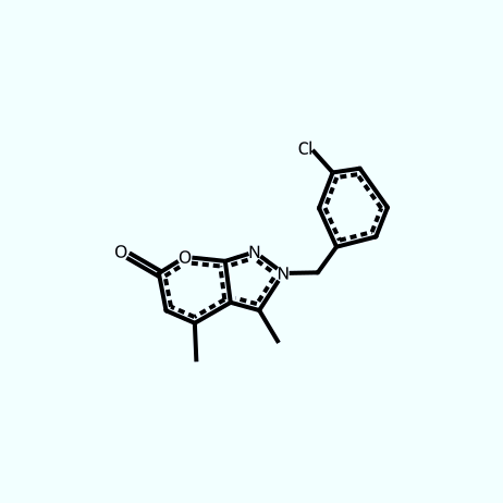 Cc1cc(=O)oc2nn(Cc3cccc(Cl)c3)c(C)c12